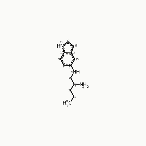 CCCC(N)CNc1ccc2[nH]ccc2c1